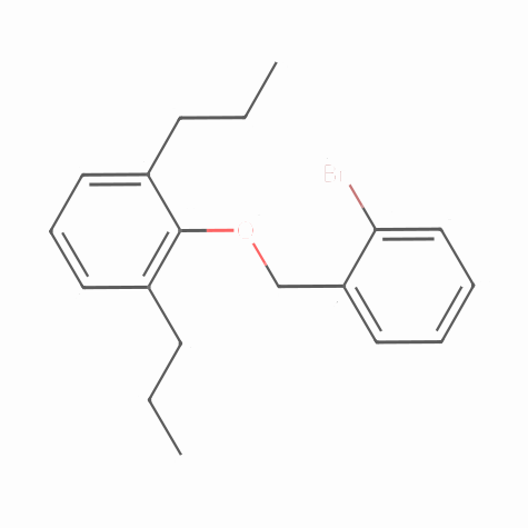 CCCc1cccc(CCC)c1OCc1ccccc1Br